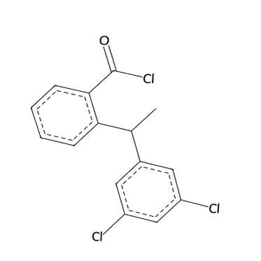 CC(c1cc(Cl)cc(Cl)c1)c1ccccc1C(=O)Cl